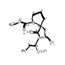 C=CC[C@]1(C(=O)N[C@H](CC(C)C)C(=O)O)CCCN1C(=O)OC(C)(C)C